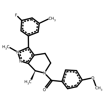 COc1ccc(C(=O)N2CCc3c(nn(C)c3-c3cc(C)cc(F)c3)[C@@H]2C)cc1